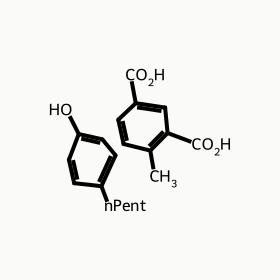 CCCCCc1ccc(O)cc1.Cc1ccc(C(=O)O)cc1C(=O)O